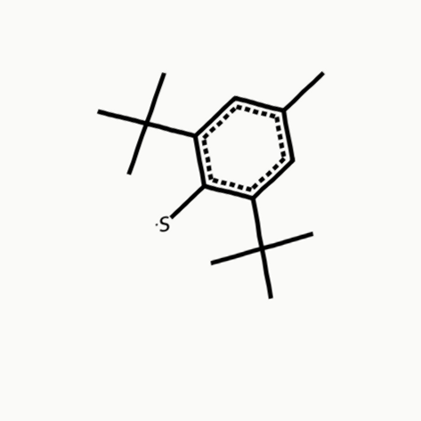 Cc1cc(C(C)(C)C)c([S])c(C(C)(C)C)c1